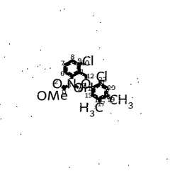 COC(=O)N(O)c1cccc(Cl)c1COc1cc(C)c(C)cc1Cl